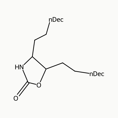 CCCCCCCCCCCCC1NC(=O)OC1CCCCCCCCCCCC